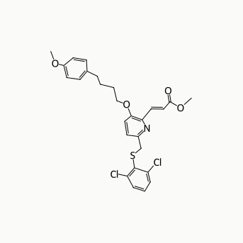 COC(=O)C=Cc1nc(CSc2c(Cl)cccc2Cl)ccc1OCCCCc1ccc(OC)cc1